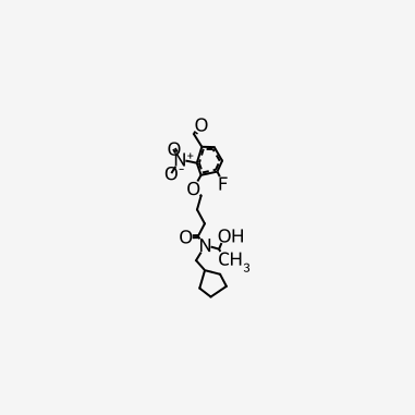 CC(O)N(CC1CCCC1)C(=O)CCCOc1c(F)ccc(C=O)c1[N+](=O)[O-]